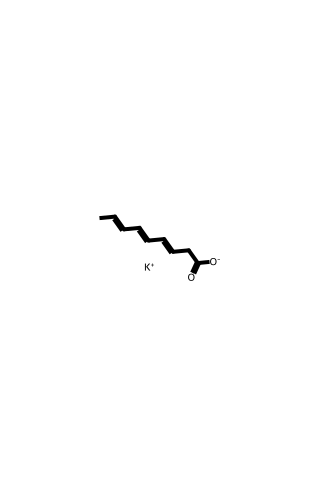 CC=CC=CC=CCC(=O)[O-].[K+]